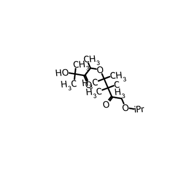 CC(C)OCC(=O)C(C)(C)C(C)(C)OC(C)C(=O)C(C)(C)O